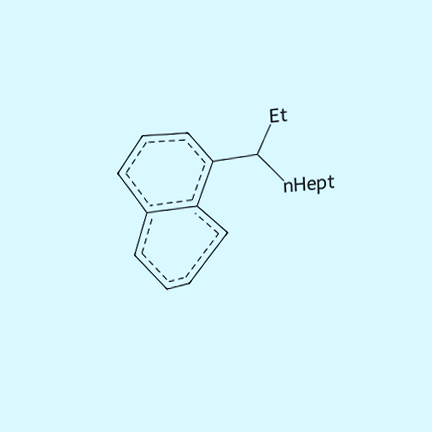 [CH2]CC(CCCCCCC)c1cccc2ccccc12